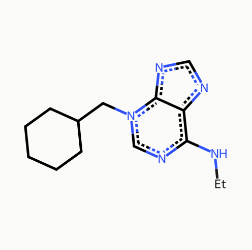 CCNc1ncn(CC2CCCCC2)c2ncnc1-2